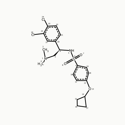 CN(C)C[C@H](NS(=O)(=O)c1ccc(OC2CCC2)cc1)c1ccc(Cl)c(Cl)c1